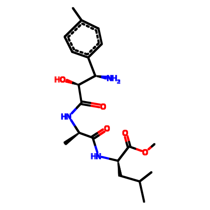 COC(=O)[C@@H](CC(C)C)NC(=O)[C@@H](C)NC(=O)[C@@H](O)[C@H](N)c1ccc(C)cc1